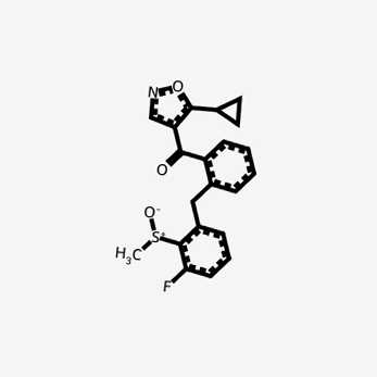 C[S+]([O-])c1c(F)cccc1Cc1ccccc1C(=O)c1cnoc1C1CC1